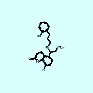 Cl.O=c1ccc2c(C(CO)NCCCc3ccccc3O)ccc(O)c2[nH]1